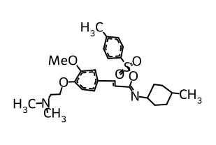 COc1cc(/C=C/C(=NC2CCC(C)CC2)OS(=O)(=O)c2ccc(C)cc2)ccc1OCCN(C)C